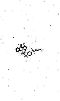 C=CC(=O)Nc1ccccc1Nc1nc(N[C@H]2CCC[C@@H](C(=O)NOCCO)C2)ncc1Cl